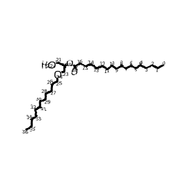 CCCCCCCCCCCCCCCCCC(=O)OC(CO)COCCCCCCCCCCCC